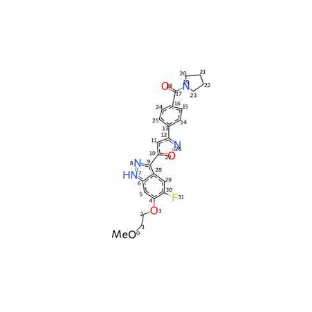 COCCOc1cc2[nH]nc(-c3cc(-c4ccc(C(=O)N5CCCC5)cc4)no3)c2cc1F